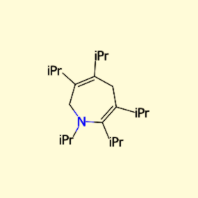 CC(C)C1=C(C(C)C)CN(C(C)C)C(C(C)C)=C(C(C)C)C1